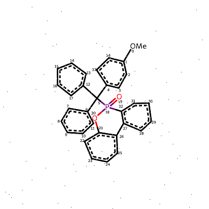 COc1ccc(C(c2ccccc2)(c2ccccc2)P2(=O)Oc3ccccc3-c3ccccc32)cc1